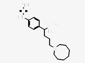 C.NS(=O)(=O)Nc1ccc(C(O)CCCN2CCCCCCC2)cc1